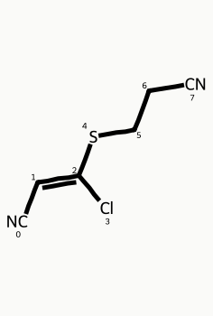 N#CC=C(Cl)SCCC#N